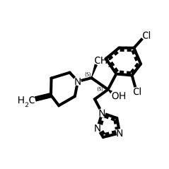 C=C1CCN([C@@H](C)[C@@](O)(Cn2cncn2)c2ccc(Cl)cc2Cl)CC1